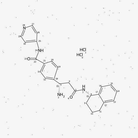 Cl.Cl.N[C@@H](CC(=O)N[C@H]1CCCc2ccccc21)c1ccc(C(=O)Nc2ccncc2)cc1